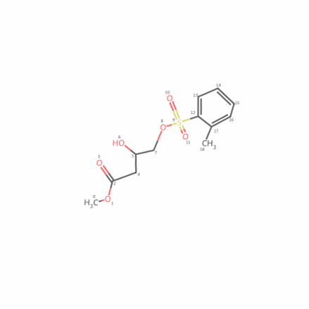 COC(=O)CC(O)COS(=O)(=O)c1ccccc1C